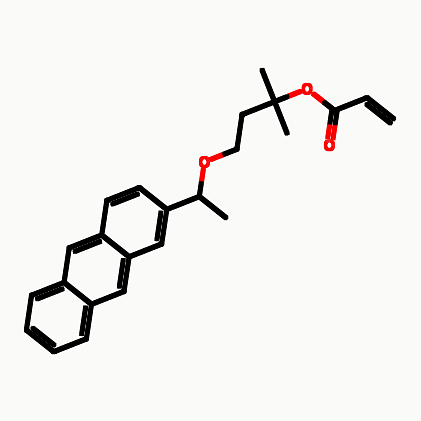 C=CC(=O)OC(C)(C)CCOC(C)c1ccc2cc3ccccc3cc2c1